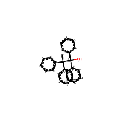 CC(c1ccccc1)(c1ccccc1)C(O)(c1ccccc1)c1ccccc1